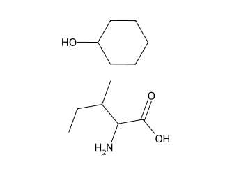 CCC(C)C(N)C(=O)O.OC1CCCCC1